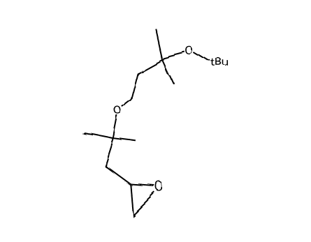 CC(C)(C)OC(C)(C)CCOC(C)(C)CC1CO1